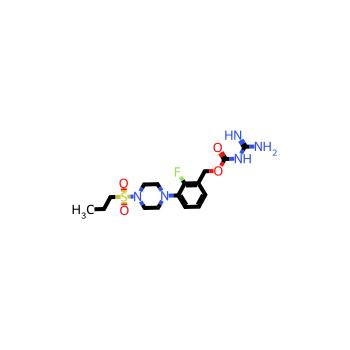 CCCS(=O)(=O)N1CCN(c2cccc(COC(=O)NC(=N)N)c2F)CC1